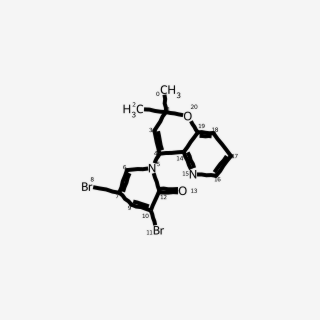 CC1(C)C=C(n2cc(Br)cc(Br)c2=O)c2ncccc2O1